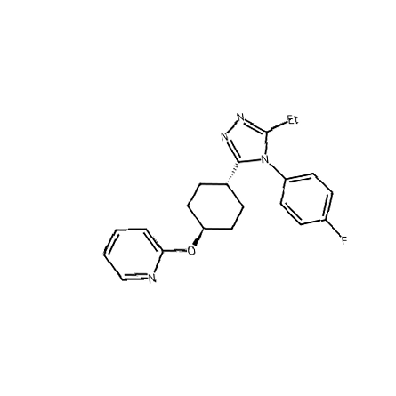 CCc1nnc([C@H]2CC[C@H](Oc3ccccn3)CC2)n1-c1ccc(F)cc1